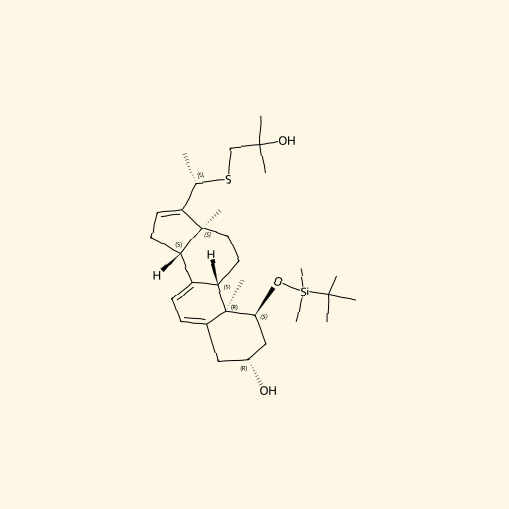 C[C@H](SCC(C)(C)O)C1=CC[C@H]2C3=CC=C4C[C@@H](O)C[C@H](O[Si](C)(C)C(C)(C)C)[C@]4(C)[C@H]3CC[C@]12C